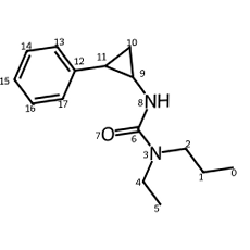 CCCN(CC)C(=O)NC1CC1c1ccccc1